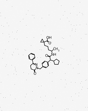 CC(CCCC1(C(=O)O)CC1)NC(=O)C(c1ccc(CN2N=C(c3ccccc3)CCC2=O)cc1)C1CCCC1